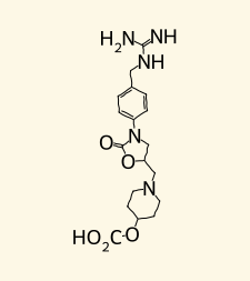 N=C(N)NCc1ccc(N2CC(CN3CCC(OC(=O)O)CC3)OC2=O)cc1